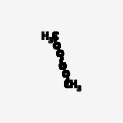 CCC[C@H]1CC[C@H](c2ccc(CCC3CCC([C@H]4CC[C@H](CCC)CC4)CC3)cc2)CC1